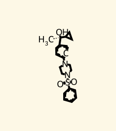 C[C@@](O)(c1ccc(N2CCN(S(=O)(=O)c3ccccc3)CC2)cc1)C1CC1